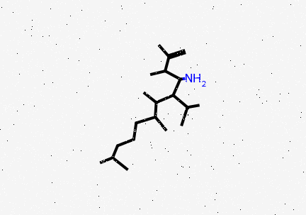 C=C(C)C(C)C(N)C(C(C)C)C(C)C(C)CCCC(C)C